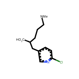 CNCCCC(Cc1ccc(Cl)nc1)C(=O)O